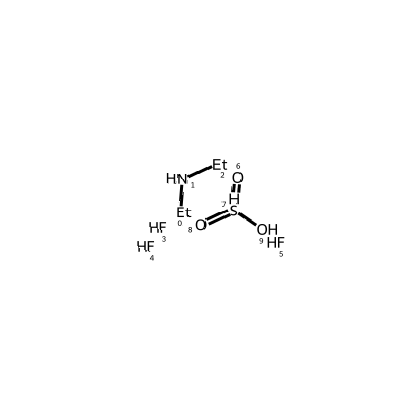 CCNCC.F.F.F.O=[SH](=O)O